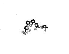 C=C1CCC2(CN(Cc3ncc(-c4cccc(-c5cccc(-c6ccc(C7=NCCN7)c(OC)n6)c5Cl)c4C)nc3OC)C2)N1